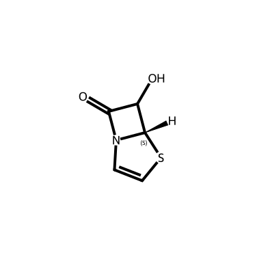 O=C1C(O)[C@@H]2SC=CN12